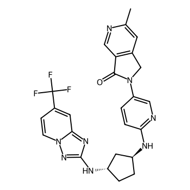 Cc1cc2c(cn1)C(=O)N(c1ccc(N[C@H]3CC[C@H](Nc4nc5cc(C(F)(F)F)ccn5n4)C3)nc1)C2